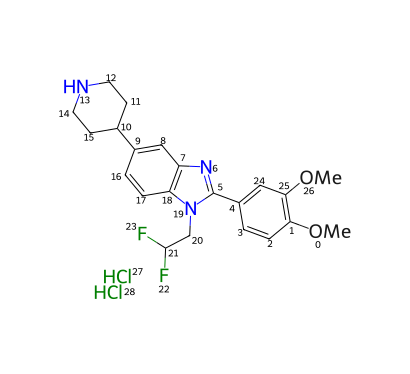 COc1ccc(-c2nc3cc(C4CCNCC4)ccc3n2CC(F)F)cc1OC.Cl.Cl